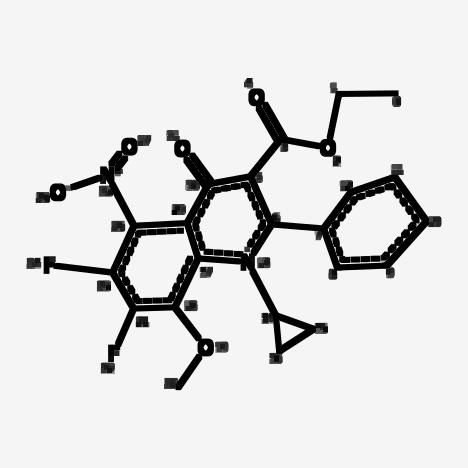 CCOC(=O)c1c(-c2ccccc2)n(C2CC2)c2c(OC)c(F)c(F)c([N+](=O)[O-])c2c1=O